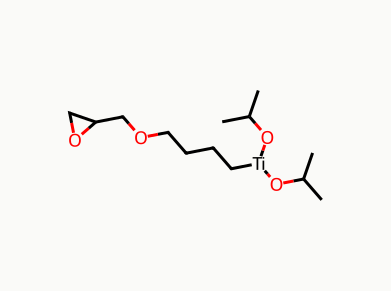 CC(C)[O][Ti]([CH2]CCCOCC1CO1)[O]C(C)C